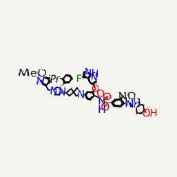 COc1ccc(CN2CCN(C3CC4(C3)CN(c3ccc(C(=O)NS(=O)(=O)c5ccc(NC[C@H]6CC[C@](C)(O)CC6)c([N+](=O)[O-])c5)c(Oc5cnc6[nH]cc(F)c6c5)c3)C4)[C@H](c3ccccc3C(C)C)C2)cn1